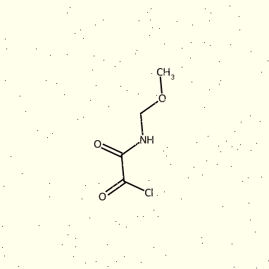 COCNC(=O)C(=O)Cl